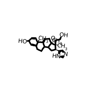 C[C@]12C=CC(O)C=C1CCC1C2=CC[C@@]2(C)C1C[C@H](c1cnc[nH]1)[C@]2(C)C(=O)CO